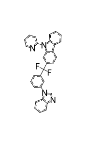 FC(F)(c1cccc(-n2cnc3ccccc32)c1)c1ccc2c3ccccc3n(-c3ccccn3)c2c1